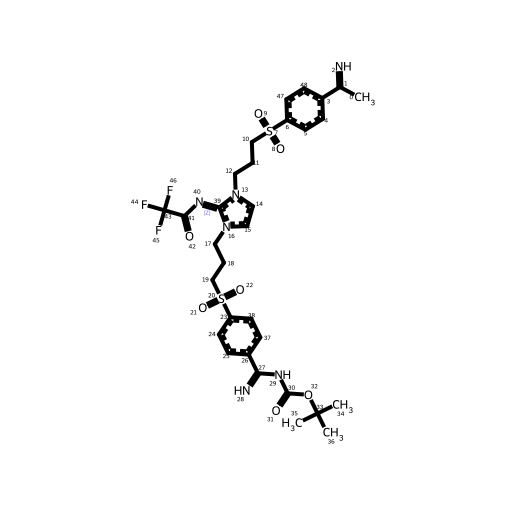 CC(=N)c1ccc(S(=O)(=O)CCCn2ccn(CCCS(=O)(=O)c3ccc(C(=N)NC(=O)OC(C)(C)C)cc3)/c2=N\C(=O)C(F)(F)F)cc1